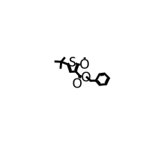 COc1sc(C(C)(C)C)cc1C(=O)OCc1ccccc1